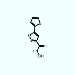 O=C(NO)c1cc(-c2cccs2)on1